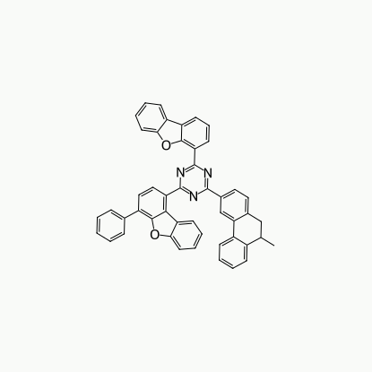 CC1Cc2ccc(-c3nc(-c4cccc5c4oc4ccccc45)nc(-c4ccc(-c5ccccc5)c5oc6ccccc6c45)n3)cc2-c2ccccc21